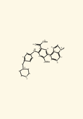 CNc1nc(Nc2ccc(CN3CCOCC3)cc2)c(C(=O)OC)nc1-c1cncc2c1ncn2C